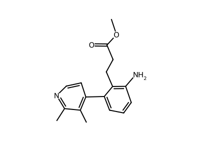 COC(=O)CCc1c(N)cccc1-c1ccnc(C)c1C